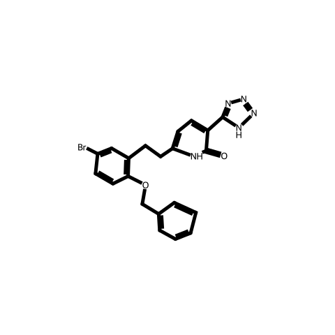 O=c1[nH]c(CCc2cc(Br)ccc2OCc2ccccc2)ccc1-c1nnn[nH]1